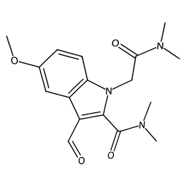 COc1ccc2c(c1)c(C=O)c(C(=O)N(C)C)n2CC(=O)N(C)C